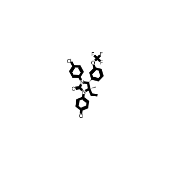 CC[C@]1(C)[C@@H](c2cccc(OC(F)(F)F)c2)N(c2ccc(Cl)cc2)C(=O)N1c1ccc(Cl)cc1